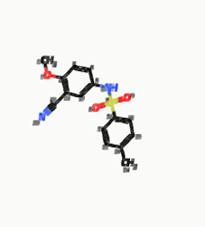 COc1ccc(NS(=O)(=O)c2ccc(C)cc2)cc1C#N